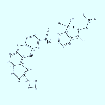 Cc1ccc(C(=O)Nc2ccc(N(C)CCN(C)C)c(C(F)(F)F)c2)cc1Nc1ncnc2cnc(N3CCC3)nc12